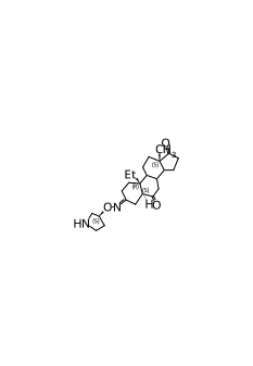 CC[C@]12CCC(=NO[C@H]3CCNC3)C[C@@H]1C(=O)CC1C2CC[C@]2(C)C(=O)CCC12